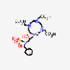 O=C(O)CN1CCN(CC(=O)O)CCN(CC(O)CN(CC2CCCCC2)CP(=O)(O)O)CCN(CC(=O)O)CC1